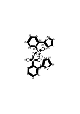 O=S(=O)(OS(=O)(=O)c1ccccc1-c1cccs1)c1ccccc1-c1cccs1